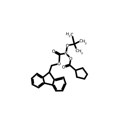 CC(C)(C)ON(OC(=O)C1CCCC1)C(=O)OCC1c2ccccc2-c2ccccc21